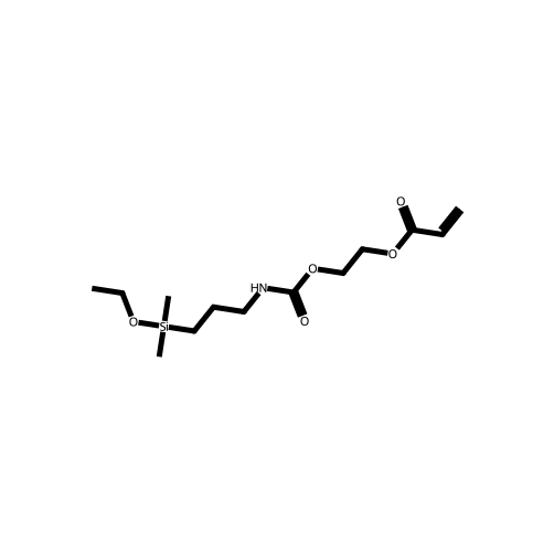 C=CC(=O)OCCOC(=O)NCCC[Si](C)(C)OCC